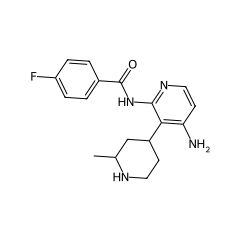 CC1CC(c2c(N)ccnc2NC(=O)c2ccc(F)cc2)CCN1